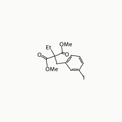 CCC(Cc1cccc(I)c1)(C(=O)OC)C(=O)OC